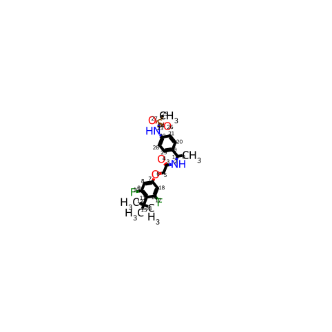 CC(NC(=O)COc1cc(F)c(C(C)(C)C)c(F)c1)c1ccc(NS(C)(=O)=O)cc1